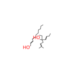 CCC=CC(CC)(CO)CC=C(C)C.CCCCCCCC/C=C/CO